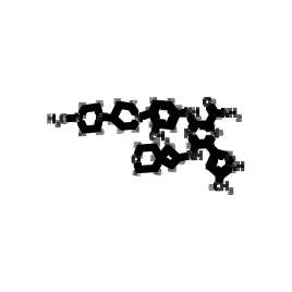 Cc1cc(-c2nc(C(N)=O)c(Nc3ccc(N4CCC(N5CCN(C)CC5)CC4)c(C)c3)nc2NC2CC3(CCOCC3)C2)n[nH]1